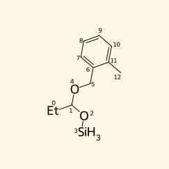 CCC(O[SiH3])OCc1ccccc1C